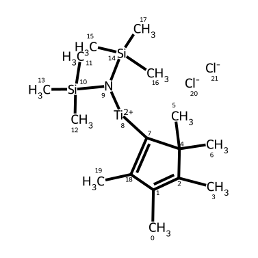 CC1=C(C)C(C)(C)[C]([Ti+2][N]([Si](C)(C)C)[Si](C)(C)C)=C1C.[Cl-].[Cl-]